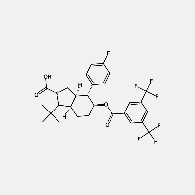 CC(C)(C)C1[C@@H]2CC[C@H](OC(=O)c3cc(C(F)(F)F)cc(C(F)(F)F)c3)[C@@H](c3ccc(F)cc3)[C@@H]2CN1C(=O)O